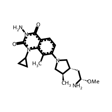 CO[C@H](N)C[C@H]1CN(c2ccc3c(=O)n(N)c(=O)n(C4CC4)c3c2C)C[C@@H]1C